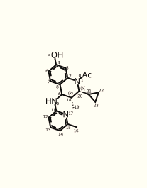 CC(=O)N1c2cc(O)ccc2C(Nc2cccc(C)n2)[C@@H](C)[C@@H]1C1CC1